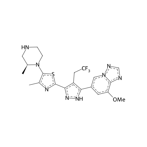 COc1cc(-c2[nH]nc(-c3nc(C)c(N4CCNC[C@@H]4C)s3)c2CC(F)(F)F)cn2ncnc12